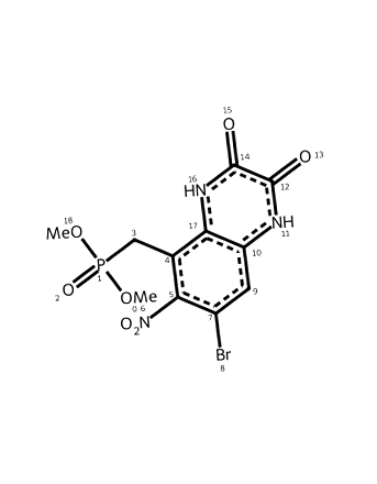 COP(=O)(Cc1c([N+](=O)[O-])c(Br)cc2[nH]c(=O)c(=O)[nH]c12)OC